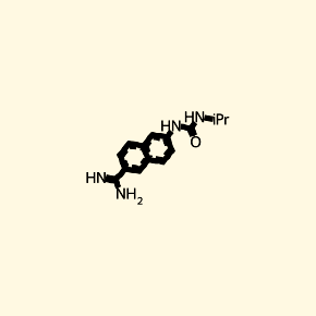 CC(C)NC(=O)Nc1ccc2cc(C(=N)N)ccc2c1